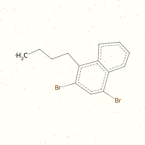 [CH2]CCCc1c(Br)cc(Br)c2ccccc12